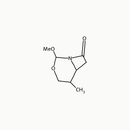 COC1OCC(C)C2CC(=O)N12